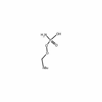 CCCCCOOP(N)(=O)O